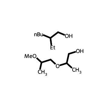 CCCCC(CC)CO.COC(C)COC(C)CO